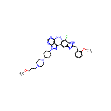 COCCCN1CCN([C@H]2CC[C@H](n3nc(-c4cc(Cl)c5[nH]c(Cc6ccccc6OC)nc5c4)c4c(N)ncnc43)CC2)CC1